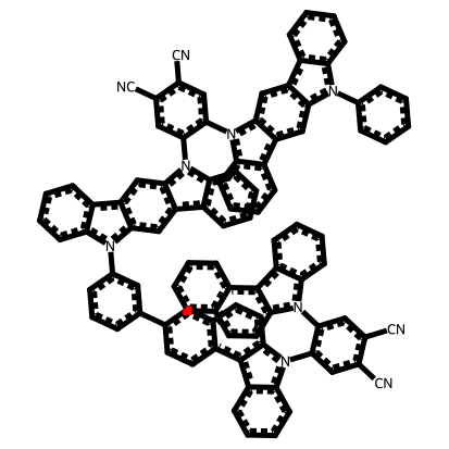 N#Cc1cc(-n2c3ccccc3c3cc4c(cc32)c2ccccc2n4-c2ccccc2)c(-n2c3ccccc3c3cc4c(cc32)c2ccccc2n4-c2cccc(-c3ccc4c(ccc5c4c4ccccc4n5-c4cc(C#N)c(C#N)cc4-n4c5ccccc5c5c6ccccc6ccc54)c3)c2)cc1C#N